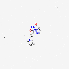 O=CNN(C(=O)CCCCN1CCCCC1)n1ccnn1